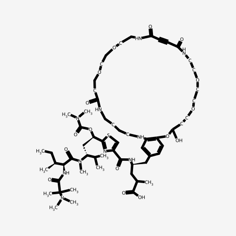 CC[C@H](C)[C@H](NC(=O)C(C)(C)N(C)C)C(=O)N(C)[C@H](C[C@@H](OC(=O)N(C)C)c1nc(C(=O)N[C@@H](Cc2ccc3c(c2)NCCCCNC(=O)CCOCCOCCNC(=O)C#CC(=O)NCCOCCOCCC(O)O3)CC(C)C(=O)O)cs1)C(C)C